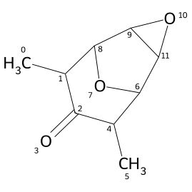 CC1C(=O)C(C)C2OC1C1OC21